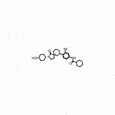 [C-]#[N+]c1cc(NC(=O)C2CCCCC2)ccc1N1CCC[C@]2(CCN([C@H]3CC[C@H](O)CC3)C2=O)C1